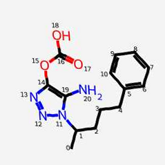 CC(CCCc1ccccc1)n1nnc(OC(=O)O)c1N